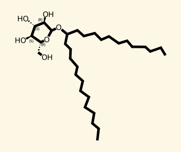 CCCCCCCCCCCCCC(CCCCCCCCCCCC)OC1O[C@H](CO)[C@@H](O)[C@H](O)[C@H]1O